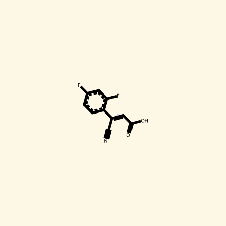 N#C/C(=C\C(=O)O)c1ccc(F)cc1F